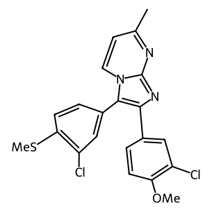 COc1ccc(-c2nc3nc(C)ccn3c2-c2ccc(SC)c(Cl)c2)cc1Cl